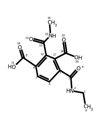 CCNC(=O)c1ccc(C(=O)O)c(C(=O)NC)c1C(=O)O